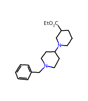 CCOC(=O)C1CCCN(C2CCN(Cc3ccccc3)CC2)C1